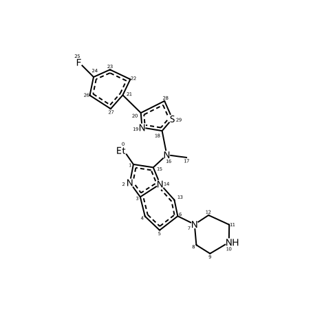 CCc1nc2ccc(N3CCNCC3)cn2c1N(C)c1nc(-c2ccc(F)cc2)cs1